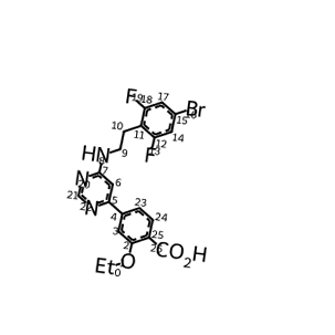 CCOc1cc(-c2cc(NCCc3c(F)cc(Br)cc3F)ncn2)ccc1C(=O)O